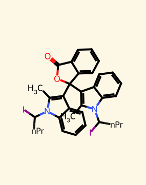 CCCC(I)n1c(C)c(C2(c3c(C)n(C(I)CCC)c4ccccc34)OC(=O)c3ccccc32)c2ccccc21